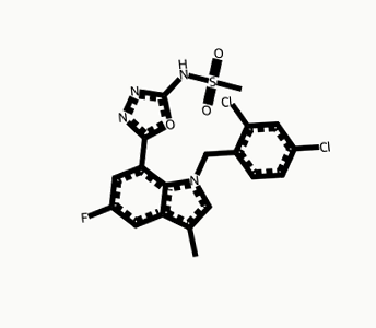 Cc1cn(Cc2ccc(Cl)cc2Cl)c2c(-c3nnc(NS(C)(=O)=O)o3)cc(F)cc12